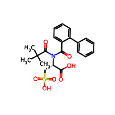 CC(C)(C)C(=O)N(C(=O)c1ccccc1-c1ccccc1)[C@@H](CS(=O)(=O)O)C(=O)O